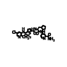 Cc1ncc(Cl)cc1N[C@@H](C)c1ccc(C(=O)N[C@@H](CC2CCCC2)C(=O)Nc2ccnc(C(N)=O)c2)s1